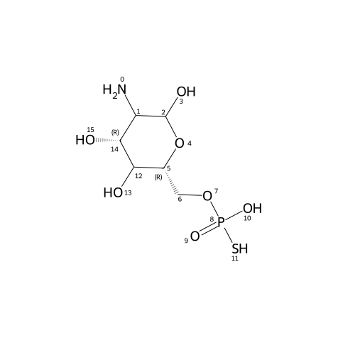 NC1C(O)O[C@H](COP(=O)(O)S)C(O)[C@@H]1O